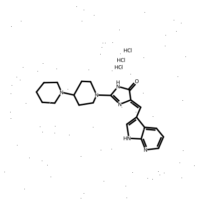 Cl.Cl.Cl.O=C1NC(N2CCC(N3CCCCC3)CC2)=N/C1=C\c1c[nH]c2ncccc12